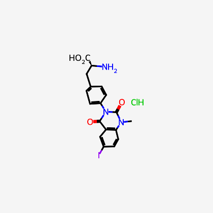 Cl.Cn1c(=O)n(-c2ccc(C[C@H](N)C(=O)O)cc2)c(=O)c2cc(I)ccc21